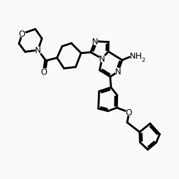 Nc1nc(-c2cccc(OCc3ccccc3)c2)cn2c(C3CCC(C(=O)N4CCOCC4)CC3)ncc12